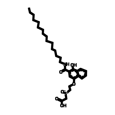 CCCCCCCCCCCCCCCCNC(=O)c1cc(OCC[S+]([O-])CC(=O)O)c2ccccc2c1O